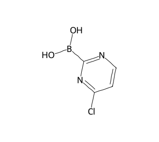 OB(O)c1nccc(Cl)n1